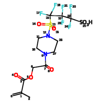 C=C(C)C(=O)OCC(=O)N1CCN(S(=O)(=O)C(F)(F)C(F)(F)C(F)(F)S(=O)(=O)O)CC1